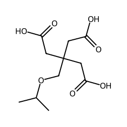 CC(C)OCC(CC(=O)O)(CC(=O)O)CC(=O)O